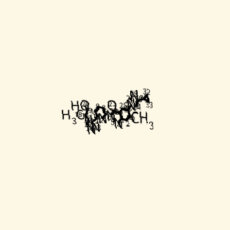 Cc1cc2ncn(-c3cccc(-c4nncn4C(C)CO)n3)c(=O)c2cc1-n1cnc(C2CC2)c1